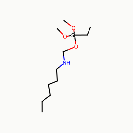 CCCCCCNCO[Si](CC)(OC)OC